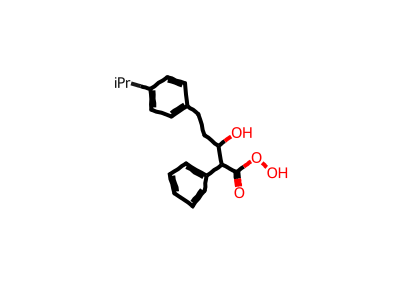 CC(C)c1ccc(CCC(O)C(C(=O)OO)c2ccccc2)cc1